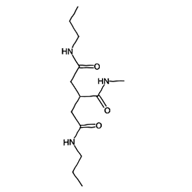 CCCNC(=O)CC(CC(=O)NCCC)C(=O)NC